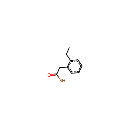 CCc1ccccc1CC(=O)S